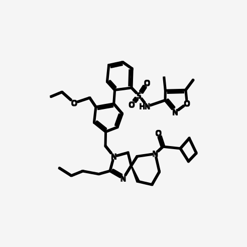 CCCCC1=N[C@]2(CCCN(C(=O)C3CCC3)C2)CN1Cc1ccc(-c2ccccc2S(=O)(=O)Nc2noc(C)c2C)c(COCC)c1